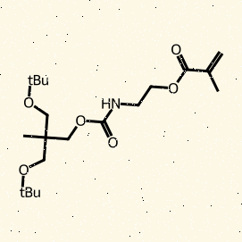 C=C(C)C(=O)OCCNC(=O)OCC(C)(COC(C)(C)C)COC(C)(C)C